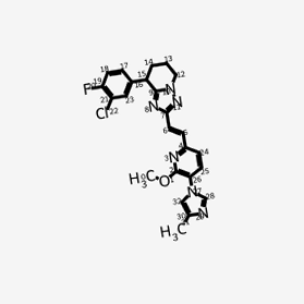 COc1nc(/C=C/c2nc3n(n2)CCCC3c2ccc(F)c(Cl)c2)ccc1-n1cnc(C)c1